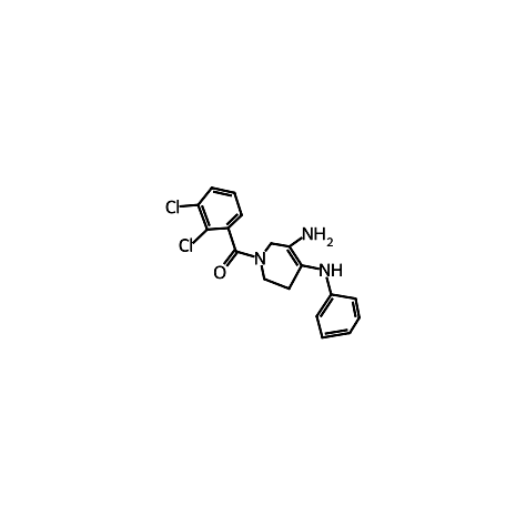 NC1=C(Nc2ccccc2)CCN(C(=O)c2cccc(Cl)c2Cl)C1